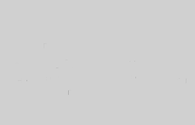 CCCCC1COC(c2ccc(-c3cc(F)c(C(F)(F)Oc4cc(F)c(F)c(F)c4C)c(F)c3)cc2)OC1